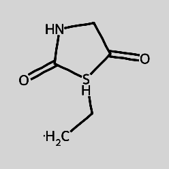 [CH2]C[SH]1C(=O)CNC1=O